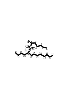 CCCCCC(F)S(=O)(=O)O.CCCCCCCCCCCCC